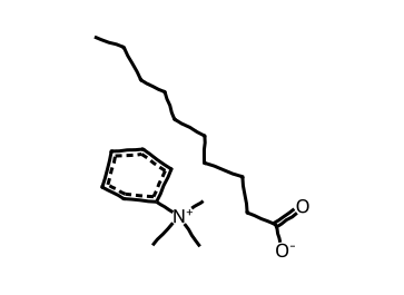 CCCCCCCCCC(=O)[O-].C[N+](C)(C)c1ccccc1